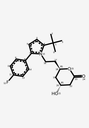 CC(C)(C)c1ccc(-c2ccc(F)cc2)n1CC[C@@H]1C[C@@H](O)CC(=O)O1